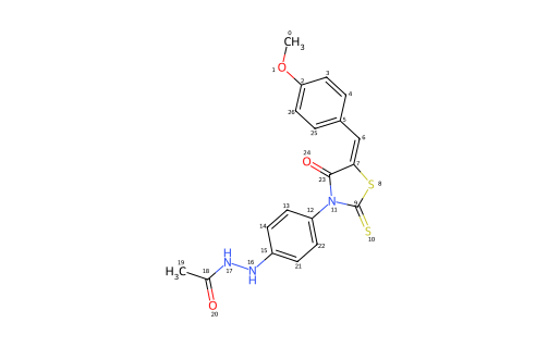 COc1ccc(C=C2SC(=S)N(c3ccc(NNC(C)=O)cc3)C2=O)cc1